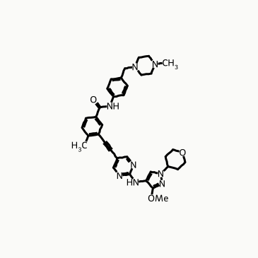 COc1nn(C2CCOCC2)cc1Nc1ncc(C#Cc2cc(C(=O)Nc3ccc(CN4CCN(C)CC4)cc3)ccc2C)cn1